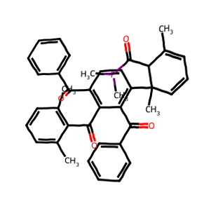 CC1=CC=CC(C)(c2ccc(C(=O)c3ccccc3)c(C(=O)c3c(C)cccc3C)c2C(=O)c2ccccc2)C1C(=O)P(C)C